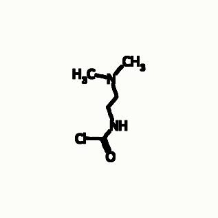 CN(C)CCNC(=O)Cl